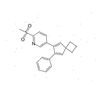 CS(=O)(=O)c1ccc(C2=CC3(C=C2c2ccccc2)CCC3)cn1